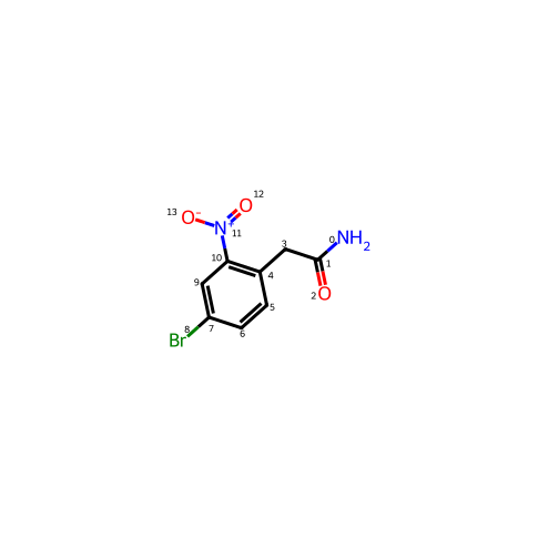 NC(=O)Cc1ccc(Br)cc1[N+](=O)[O-]